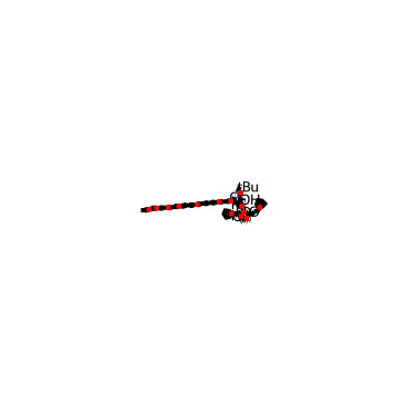 CC#CC#CC#CC#CC#CC#CC#CC#CC#CC#CC#CC#CC(=O)N[C@@H](CO[C@H]1OC(COCc2ccccc2)[C@H](C)[C@H](C)C1OCc1ccccc1)[C@H](O)/C=C/CC(C)(C)C